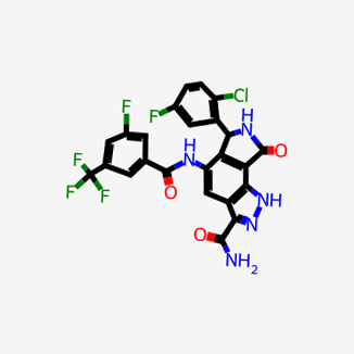 NC(=O)c1n[nH]c2c3c(c(NC(=O)c4cc(F)cc(C(F)(F)F)c4)cc12)C(c1cc(F)ccc1Cl)NC3=O